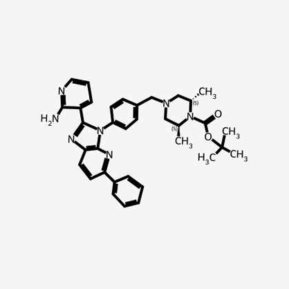 C[C@H]1CN(Cc2ccc(-n3c(-c4cccnc4N)nc4ccc(-c5ccccc5)nc43)cc2)C[C@H](C)N1C(=O)OC(C)(C)C